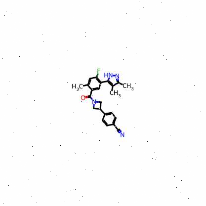 Cc1cc(F)c(-c2[nH]nc(C)c2C)cc1C(=O)N1CC(c2ccc(C#N)cc2)C1